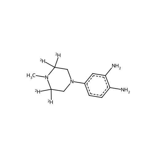 [2H]C1([2H])CN(c2ccc(N)c(N)c2)CC([2H])([2H])N1C